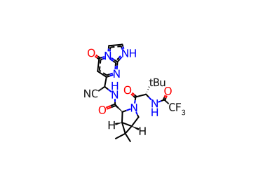 CC(C)(C)[C@H](NC(=O)C(F)(F)F)C(=O)N1C[C@H]2[C@@H]([C@H]1C(=O)NC(C#N)c1cc(=O)n3cc[nH]c3n1)C2(C)C